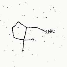 CNCC1CCCC1(F)F